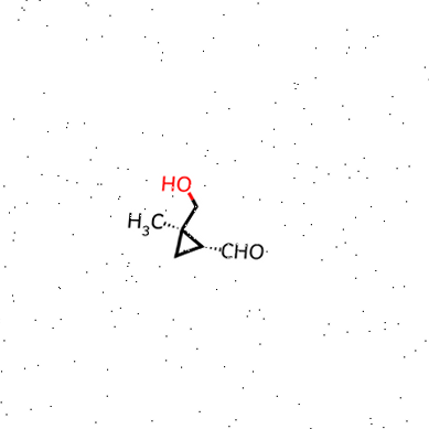 C[C@@]1(CO)C[C@H]1C=O